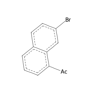 CC(=O)c1cccc2ccc(Br)cc12